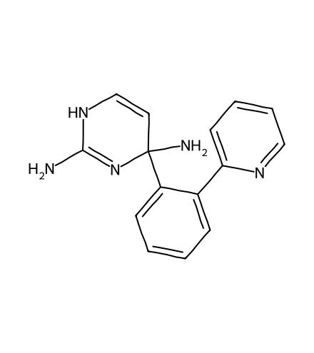 NC1=NC(N)(c2ccccc2-c2ccccn2)C=CN1